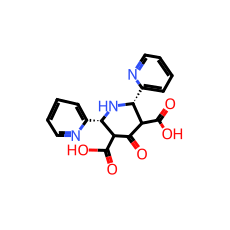 O=C(O)C1C(=O)C(C(=O)O)[C@H](c2ccccn2)N[C@@H]1c1ccccn1